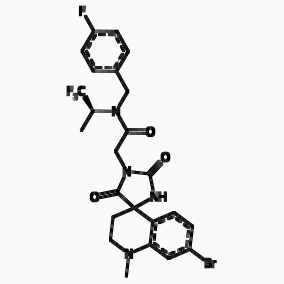 C[C@H](N(Cc1ccc(F)cc1)C(=O)CN1C(=O)NC2(CCN(C)c3cc(Br)ccc32)C1=O)C(F)(F)F